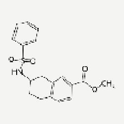 COC(=O)c1ccc2c(c1)CC(NS(=O)(=O)c1ccccc1)CC2